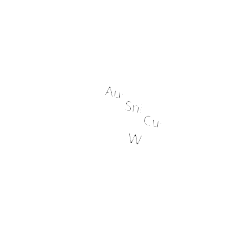 [Au].[Cu].[Sn].[W]